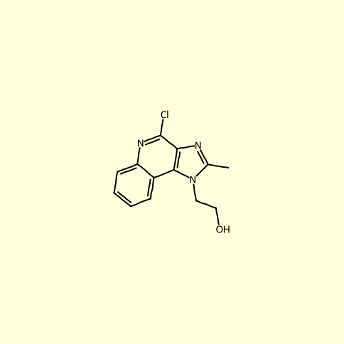 Cc1nc2c(Cl)nc3ccccc3c2n1CCO